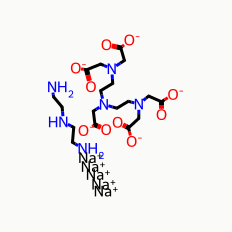 NCCNCCN.O=C([O-])CN(CCN(CC(=O)[O-])CC(=O)[O-])CCN(CC(=O)[O-])CC(=O)[O-].[Na+].[Na+].[Na+].[Na+].[Na+]